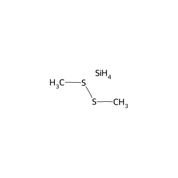 CSSC.[SiH4]